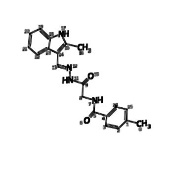 Cc1ccc(C(=O)NCC(=O)N/N=C/c2c(C)[nH]c3ccccc23)cc1